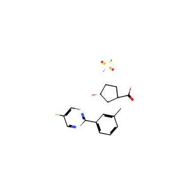 CS(=O)(=O)N[C@@H]1C[C@@](Cc2cccc(-c3ncc(F)cn3)c2)(C(=O)O)C[C@H]1O